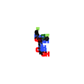 CN(C(=O)NCc1cccc(F)c1Cl)[C@@H](CCCNC(=O)NCC(C)(C)CO)COC(=O)Nc1cc2cc(F)ccc2cn1